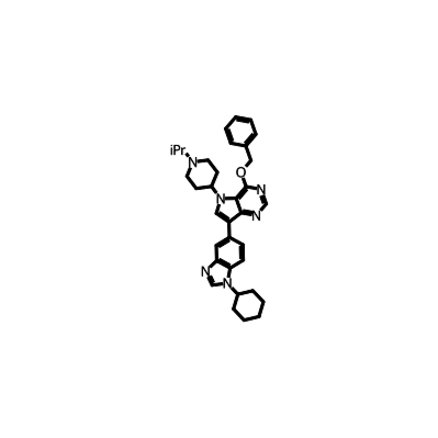 CC(C)N1CCC(n2cc(-c3ccc4c(c3)ncn4C3CCCCC3)c3ncnc(OCc4ccccc4)c32)CC1